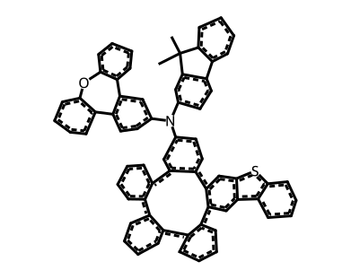 CC1(C)c2ccccc2-c2ccc(N(c3ccc4c(c3)-c3ccccc3Oc3ccccc3-4)c3ccc4c(c3)c3ccccc3c3ccccc3c3ccccc3c3cc5c(cc43)sc3ccccc35)cc21